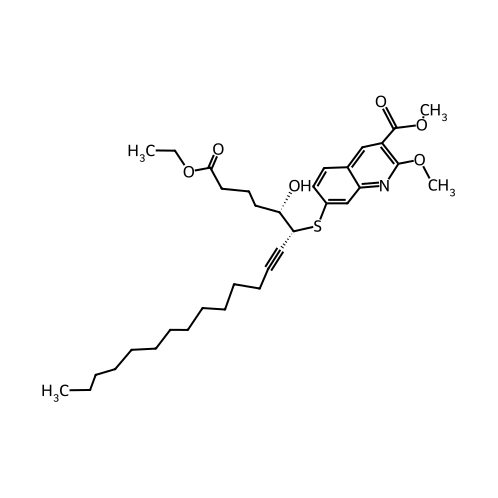 CCCCCCCCCCCCC#C[C@@H](Sc1ccc2cc(C(=O)OC)c(OC)nc2c1)[C@@H](O)CCCC(=O)OCC